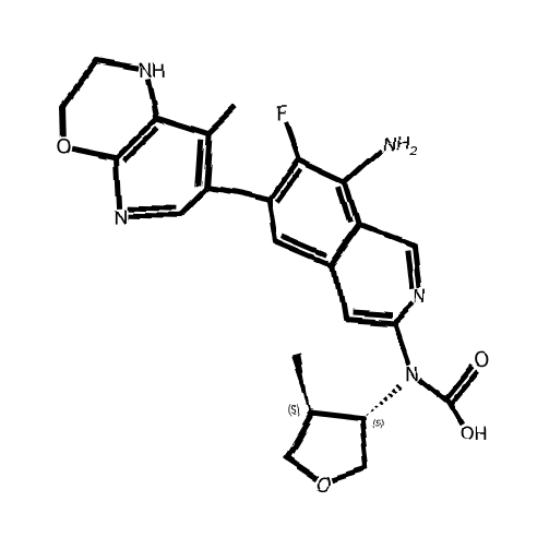 Cc1c(-c2cc3cc(N(C(=O)O)[C@@H]4COC[C@H]4C)ncc3c(N)c2F)cnc2c1NCCO2